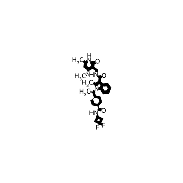 CSc1cc(C)[nH]c(=O)c1CNC(=O)c1c(C)n([C@H](C)[C@H]2CC[C@H](C(=O)NC3CC(F)(F)C3)CC2)c2ccccc12